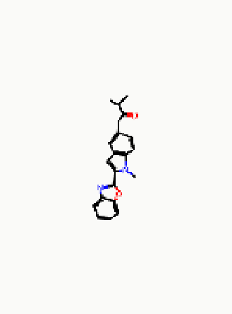 CC(C)C(=O)Cc1ccc2c(c1)cc(-c1nc3ccccc3o1)n2C